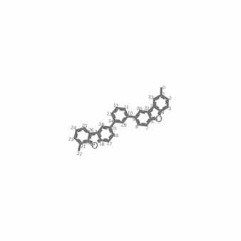 Cc1ccc2oc3ccc(-c4cccc(-c5ccc6oc7c(C)cccc7c6c5)c4)cc3c2c1